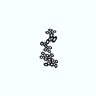 c1ccc(C2(c3ccccc3)c3ccccc3-c3c2cc2c4ccccc4n4c5cc6c7c8c(cc9c%10ccccc%10n(c6cc5c3c24)c97)C(c2ccccc2)(c2ccc(-c3cccc4c3c3cc5c(c6c7cc9c(cc7n4c36)c3c4c(cc6c7ccccc7n9c63)-c3ccccc3C4(c3ccccc3)c3ccccc3)C(c3ccccc3)(c3ccccc3)c3ccccc3-5)cc2)c2ccccc2-8)cc1